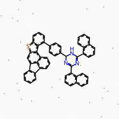 c1ccc2c(c1)-c1cccc3c1c-2cc1sc2cccc(-c4ccc(C5N=C(c6cccc7ccccc67)N=C(c6cccc7ccccc67)N5)cc4)c2c13